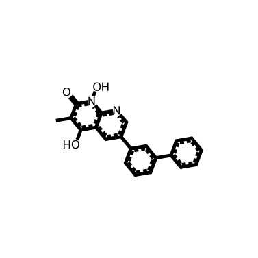 Cc1c(O)c2cc(-c3cccc(-c4ccccc4)c3)cnc2n(O)c1=O